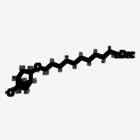 [CH2]CCCCCCCCCCCCCCCCCCCOC1CC2CC1CC2[O]